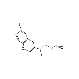 CC(COC=O)C1=COc2ccc(I)cc2C1